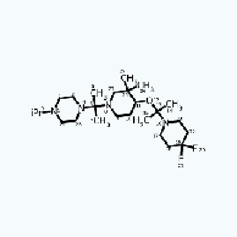 CC(C)N1CCN(C(C)(C)N2CCC(OC(C)(C)N3CCC(F)(F)CC3)C(C)(C)C2)CC1